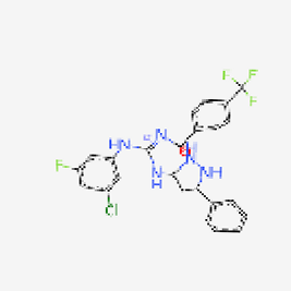 O=C(/N=C(/Nc1cc(F)cc(Cl)c1)NC1CC(c2ccccc2)NN1)c1ccc(C(F)(F)F)cc1